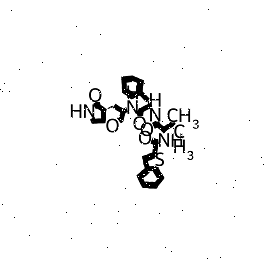 CC(C)[C@H](NC(=O)c1cc2ccccc2s1)C(=O)N[C@@H](Cc1ccccc1)C(=O)NC(C=O)C[C@@H]1CCNC1=O